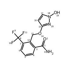 NC(=O)c1cccc(C(F)(F)F)c1COc1ccn(O)n1